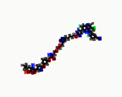 Cc1nc2cc(F)c(-c3cnc(OCCCCCn4cc(COCCOCCNC(=O)COc5cccc(Oc6ccc(C(=O)NC(CCC(C)(C)C)C(=O)O)cn6)c5)nn4)nc3)nc2c(N[C@H](C)c2cc(C#N)ccc2F)c1Cl